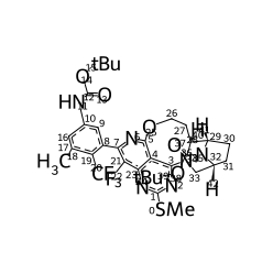 CSc1nc2c3c(nc(-c4cc(NC(=O)OC(C)(C)C)cc(C)c4C(F)(F)F)c(F)c3n1)OCC[C@@H]1[C@@H]3CC[C@H](CN21)N3C(=O)OC(C)(C)C